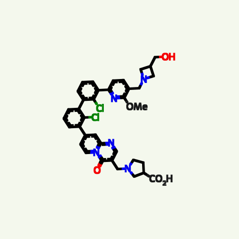 COc1nc(-c2cccc(-c3cccc(-c4ccn5c(=O)c(CN6CCC(C(=O)O)C6)cnc5c4)c3Cl)c2Cl)ccc1CN1CC(CO)C1